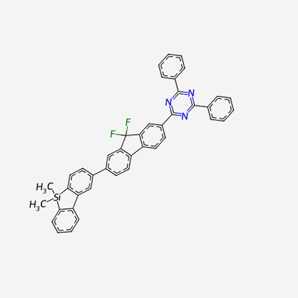 C[Si]1(C)c2ccccc2-c2cc(-c3ccc4c(c3)C(F)(F)c3cc(-c5nc(-c6ccccc6)nc(-c6ccccc6)n5)ccc3-4)ccc21